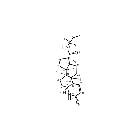 CCC(C)(C)NC(=O)[C@H]1CC[C@H]2[C@@H]3CC[C@H]4NC(=O)C=C[C@]4(C)[C@H]3CC[C@]12C